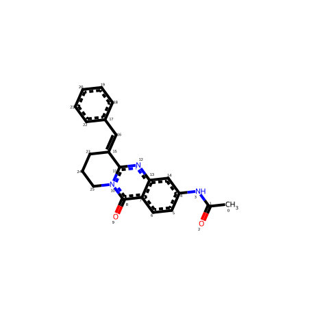 CC(=O)Nc1ccc2c(=O)n3c(nc2c1)C(=Cc1ccccc1)CCC3